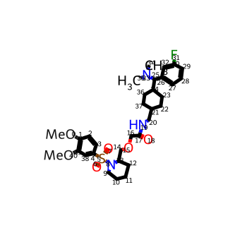 COc1ccc(S(=O)(=O)N2CCCCC2COCC(=O)NCC2CCC(C(c3cccc(F)c3)N(C)C)CC2)cc1OC